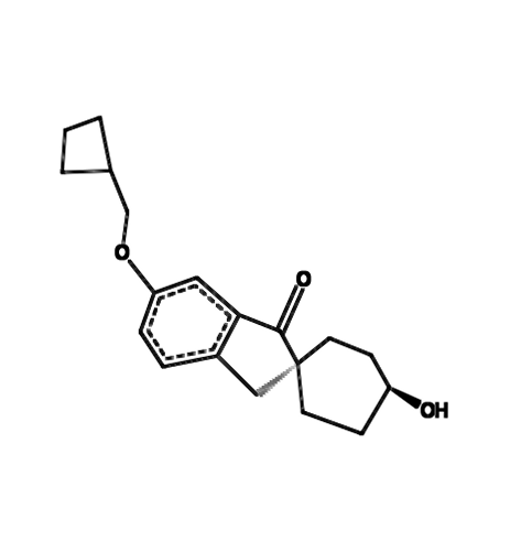 O=C1c2cc(OCC3CCC3)ccc2C[C@]12CC[C@H](O)CC2